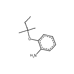 CCC(C)(C)Oc1ccccc1N